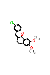 COc1cc2c(cc1OC)C(=O)C(=Cc1cccc(Cl)c1)CC2